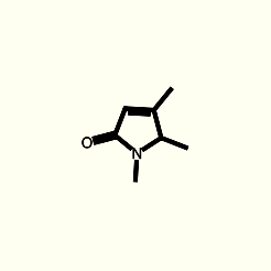 CC1=CC(=O)N(C)C1C